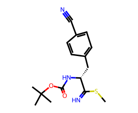 CSC(=N)[C@@H](Cc1ccc(C#N)cc1)NC(=O)OC(C)(C)C